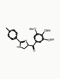 COc1cc(C(=O)C2CNC(c3ccc(C)cc3)=N2)cc(OC)c1OC